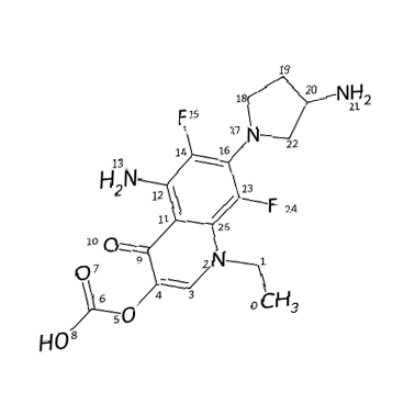 CCn1cc(OC(=O)O)c(=O)c2c(N)c(F)c(N3CCC(N)C3)c(F)c21